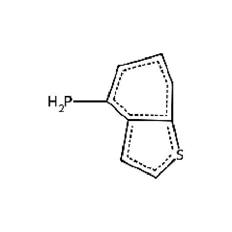 Pc1cccc2sccc12